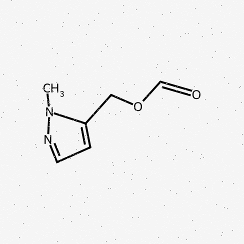 Cn1nccc1COC=O